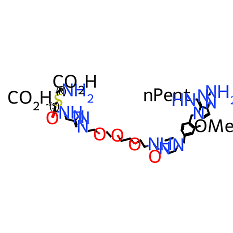 CCCCCNc1nc(N)nc2ccn(Cc3ccc(CN4CCN(C(=O)NCCOCCOCCOCCn5cc(CNC(=O)[C@H](CC(=O)O)SC[C@H](N)C(=O)O)nn5)CC4)cc3OC)c12